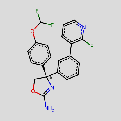 NC1=N[C@@](c2ccc(OC(F)F)cc2)(c2cccc(-c3cccnc3F)c2)CO1